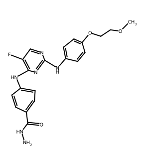 COCCOc1ccc(Nc2ncc(F)c(Nc3ccc(C(=O)NN)cc3)n2)cc1